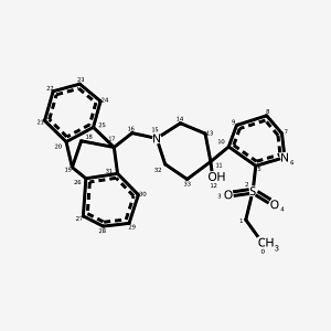 CCS(=O)(=O)c1ncccc1C1(O)CCN(CC23CC(c4ccccc42)c2ccccc23)CC1